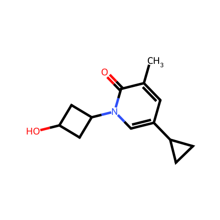 Cc1cc(C2CC2)cn(C2CC(O)C2)c1=O